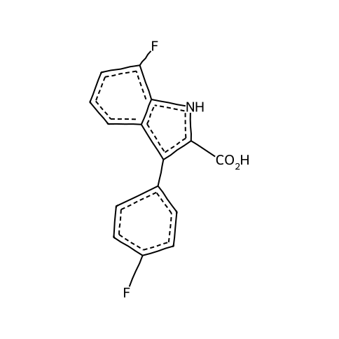 O=C(O)c1[nH]c2c(F)cccc2c1-c1ccc(F)cc1